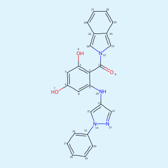 O=C(c1c(O)cc(O)cc1Nc1cnn(-c2ccccc2)c1)n1cc2ccccc2c1